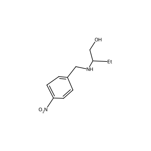 CCC(CO)NCc1ccc([N+](=O)[O-])cc1